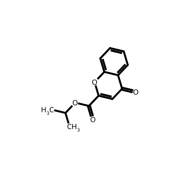 CC(C)OC(=O)c1cc(=O)c2ccccc2o1